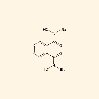 CC(C)(C)N(O)C(=O)c1ccccc1C(=O)N(O)C(C)(C)C